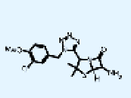 COc1ccc(Cn2nnnc2C2N3C(=O)C(N)[C@H]3SC2(C)C)cc1Cl